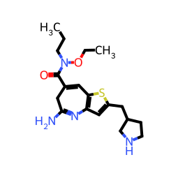 CCCN(OCC)C(=O)C1=Cc2sc(CC3CCNC3)cc2N=C(N)C1